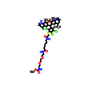 CC1CC(C)(C)Nc2c1cc1c(c2S(=O)(=O)O)Oc2c(S(=O)(=O)O)c3c(cc2=C1c1c(Cl)c(SCC(=O)NCCCCCC(=O)NCCOCCOCCNC(=O)OC(C)(C)C)c(Cl)c(Cl)c1C(=O)O)C(C)CC(C)(C)N=3